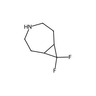 FC1(F)C2CCNCCC21